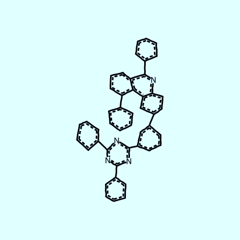 c1ccc(-c2nc(-c3ccccc3)nc(-c3cccc(-c4ccc5nc(-c6ccccc6)c6cccc(-c7ccccc7)c6c5c4)c3)n2)cc1